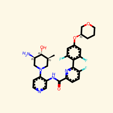 C[C@H]1CN(c2ccncc2NC(=O)c2ccc(F)c(-c3c(F)cc(O[C@@H]4CCCOC4)cc3F)n2)C[C@@H](N)[C@@H]1O